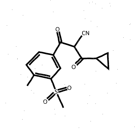 Cc1ccc(C(=O)C(C#N)C(=O)C2CC2)cc1S(C)(=O)=O